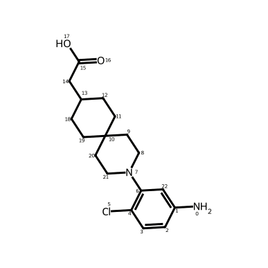 Nc1ccc(Cl)c(N2CCC3(CCC(CC(=O)O)CC3)CC2)c1